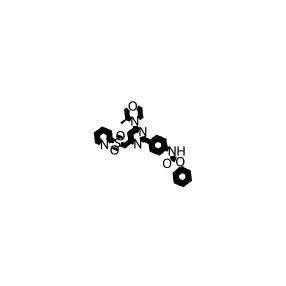 C[C@H]1COCCN1c1cc(CS(=O)(=O)c2ccccn2)nc(-c2ccc(NC(=O)Oc3ccccc3)cc2)n1